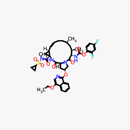 CCOc1cnc(O[C@@H]2C[C@H]3C(=O)N[C@]4(C(=O)N(C)S(=O)(=O)C5CC5)C[C@H]4C=CCC[C@@H](C)C[C@@H](C)[C@H](NC(=O)Oc4ccc(F)cc4F)C(=O)N3C2)c2ccccc12